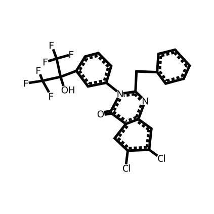 O=c1c2cc(Cl)c(Cl)cc2nc(Cc2ccccc2)n1-c1cccc(C(O)(C(F)(F)F)C(F)(F)F)c1